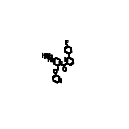 Cl.Cl.O=C(c1cccc(-c2ccc(F)cc2)n1)N1CCNCC1COc1cccnc1